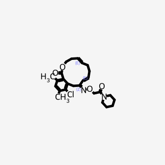 Cc1cc(C)c2c(c1Cl)CC(=N/OCC(=O)N1CCCCC1)/C=C/CC/C=C/CCOC2=O